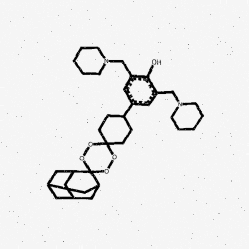 Oc1c(CN2CCCCC2)cc(C2CCC3(CC2)OOC2(OO3)C3CC4CC(C3)CC2C4)cc1CN1CCCCC1